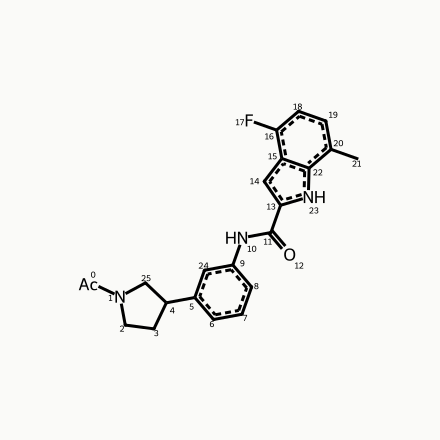 CC(=O)N1CCC(c2cccc(NC(=O)c3cc4c(F)ccc(C)c4[nH]3)c2)C1